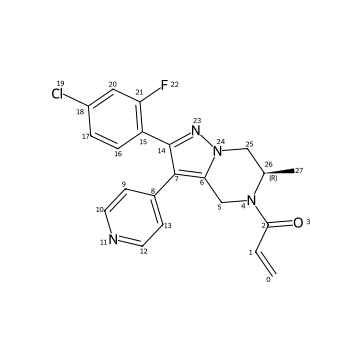 C=CC(=O)N1Cc2c(-c3ccncc3)c(-c3ccc(Cl)cc3F)nn2C[C@H]1C